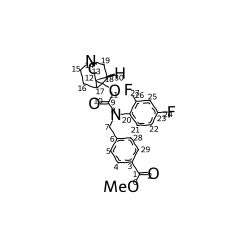 COC(=O)c1ccc(CN(C(=O)O[C@H]2CN3CCC2CC3)c2ccc(F)cc2F)cc1